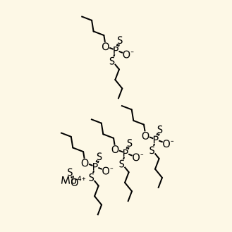 CCCCOP([O-])(=S)SCCCC.CCCCOP([O-])(=S)SCCCC.CCCCOP([O-])(=S)SCCCC.CCCCOP([O-])(=S)SCCCC.O=S.[Mo+4]